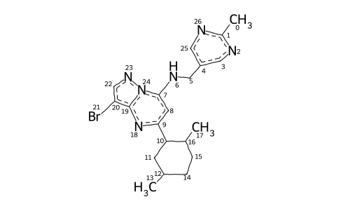 Cc1ncc(CNc2cc(C3CC(C)CCC3C)nc3c(Br)cnn23)cn1